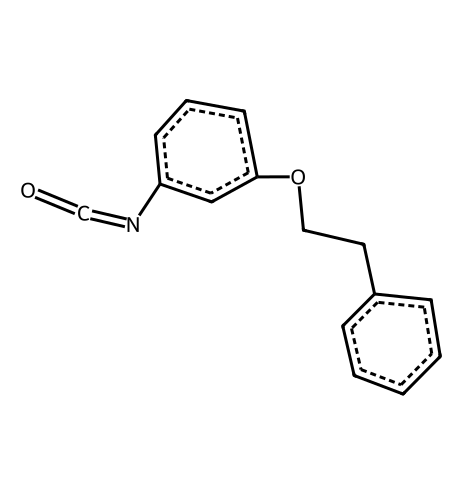 O=C=Nc1cccc(OCCc2ccccc2)c1